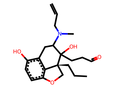 C=CCN(C)C1Cc2c(O)ccc3c2[C@@](CCC)(CO3)C1(O)CCC=O